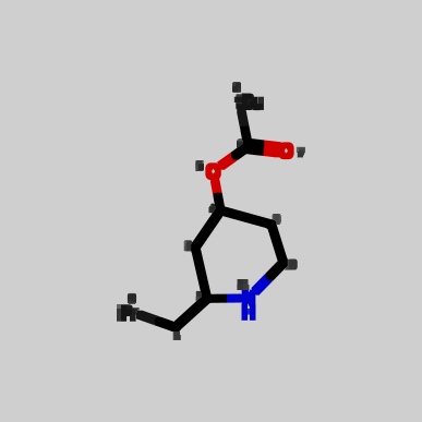 CC(C)CC1CC(OC(=O)C(C)(C)C)CCN1